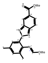 CO/C=N/c1c(C)cc(C)cc1-n1nc2ccc(C(=O)OC)cc2n1